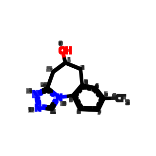 OC1Cc2cc(C(F)(F)F)ccc2-n2cnnc2C1